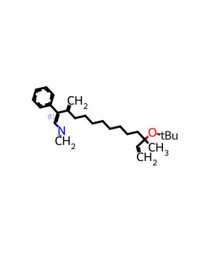 C=CC(C)(CCCCCCCCC(=C)/C(=C\N=C)c1ccccc1)OC(C)(C)C